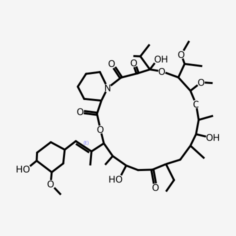 CCC1CC(C)C(O)C(C)CC(OC)C(C(C)OC)OC(O)(C(C)C)C(=O)C(=O)N2CCCCC2C(=O)OC(/C(C)=C/C2CCC(O)C(OC)C2)C(C)C(O)CC1=O